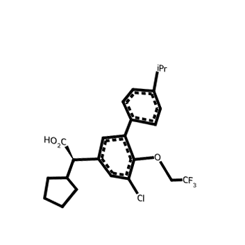 CC(C)c1ccc(-c2cc([C@H](C(=O)O)C3CCCC3)cc(Cl)c2OCC(F)(F)F)cc1